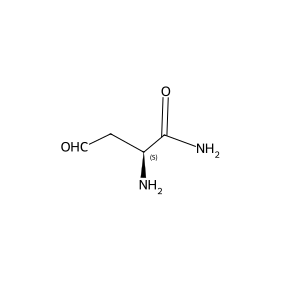 NC(=O)[C@@H](N)CC=O